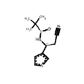 CC(C)(C)[S+]([O-])N[C@@H](CC#N)c1ccsc1